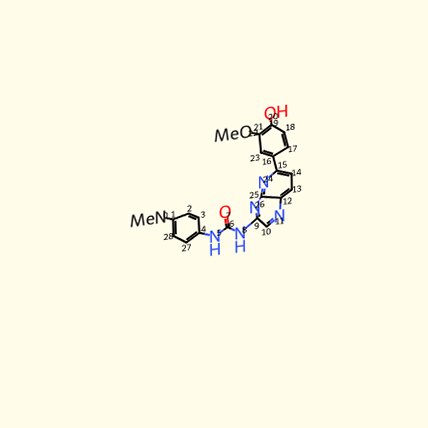 CNc1ccc(NC(=O)Nc2cnc3ccc(-c4ccc(O)c(OC)c4)nc3n2)cc1